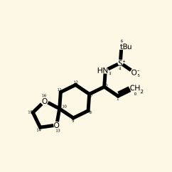 C=CC(N[S+]([O-])C(C)(C)C)C1CCC2(CC1)OCCO2